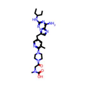 CCC(CC)Nc1nc(N)c2ncc(Cc3cnc(N4CCN(C(=O)CN(C)C(=O)O)CC4)c(C)c3)n2n1